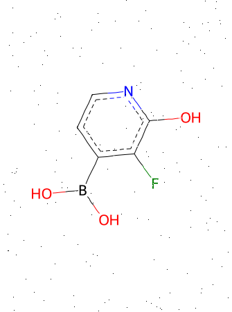 OB(O)c1ccnc(O)c1F